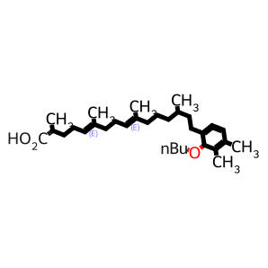 CCCCOC1C(CCC(C)CCC/C(C)=C/CC/C(C)=C/CCC(C)C(=O)O)=C=CC(C)=C1C